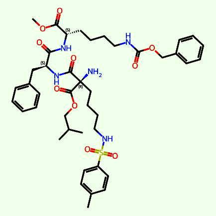 COC(=O)[C@H](CCCCNC(=O)OCc1ccccc1)NC(=O)[C@H](Cc1ccccc1)NC(=O)[C@](N)(CCCCNS(=O)(=O)c1ccc(C)cc1)C(=O)OCC(C)C